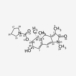 CC1=C2C[C@@]3(C)C(=C[C@@H](O)[C@H](OC(=O)N4CCCC4)[C@@H]3C)C=C2N(C)C1=O